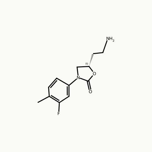 Cc1ccc(N2C[C@H](CCN)OC2=O)cc1F